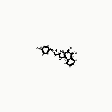 O=C1C(=O)c2nc(CNc3ccc(F)cc3)oc2-c2ccccc21